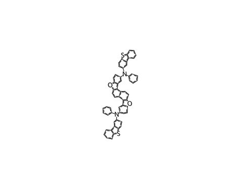 c1ccc(N(c2ccc3sc4ccccc4c3c2)c2ccc3oc4ccc5c(ccc6oc7ccc(N(c8ccccc8)c8ccc9sc%10ccccc%10c9c8)cc7c65)c4c3c2)cc1